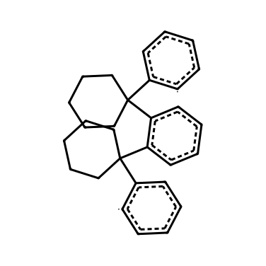 [c]1ccccc1C1(c2ccccc2C2(c3[c]cccc3)CCCCC2)CCCCC1